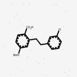 COc1ccc(C(=O)O)c(CCc2cccc(Cl)c2)c1